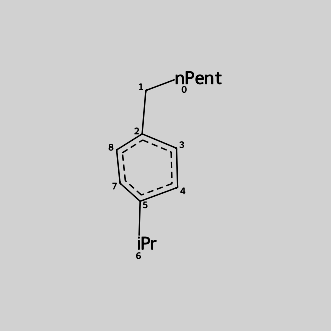 [CH2]CCCCCc1ccc(C(C)C)cc1